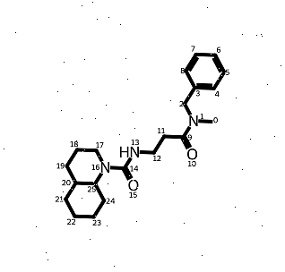 CN(Cc1ccccc1)C(=O)CCNC(=O)N1CCCC2CCCCC21